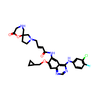 O=C(C=CCN1CCC2(CNCC(=O)O2)C1)Nc1cc2c(Nc3ccc(F)c(Cl)c3)ncnc2cc1OCC1CC1